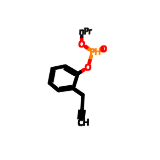 C#CCc1ccccc1O[PH](=O)OCCC